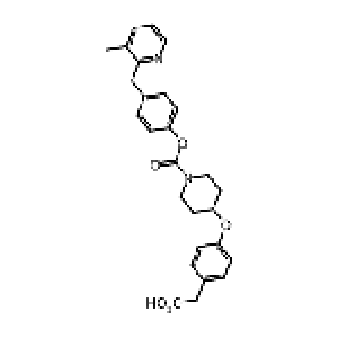 Cc1cccnc1Cc1ccc(OC(=O)N2CCC(Oc3ccc(CC(=O)O)cc3)CC2)cc1